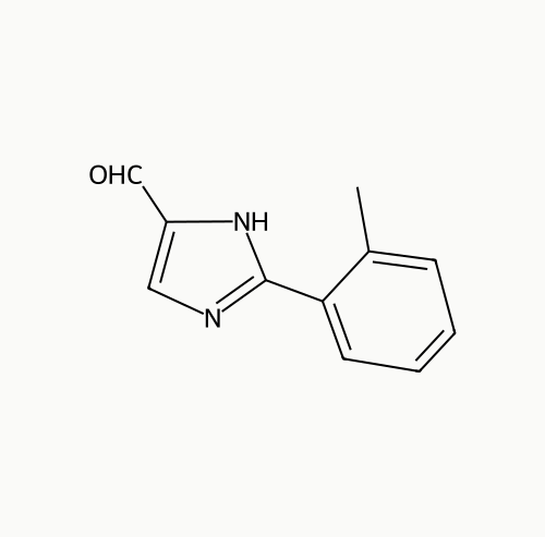 Cc1ccccc1-c1ncc(C=O)[nH]1